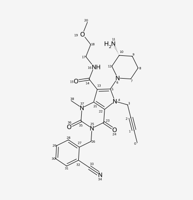 CC#CCn1c(N2CCC[C@@H](N)C2)c(C(=O)NCCOC)c2c1c(=O)n(Cc1ccccc1C#N)c(=O)n2C